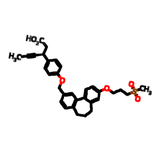 CC#C[C@@H](CC(=O)O)c1ccc(OCc2ccc3c(c2)-c2ccc(OCCCS(C)(=O)=O)cc2CCC3)cc1